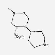 CCOC(=O)[C@@H]1CN(C)CCN1C1CCNCC1